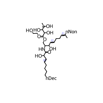 CCCCCCCCCCCCCC/C=C/C(O)C(=O)NC(CO[C@H](OCCO)C(O)C(O)[C@@H](C)O)C(O)/C=C/CC/C=C(\C)CCCCCCCCC